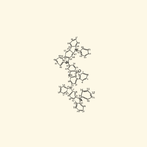 O=P1(c2ccccc2)c2ccc(-n3c4ccccc4c4cc5c6ccccc6n(-c6ccccc6)c5cc43)cc2Sc2cc(-n3c4ccccc4c4cc5c6ccccc6n(-c6ccccc6)c5cc43)ccc21